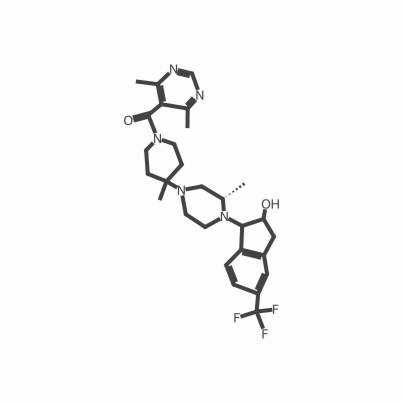 Cc1ncnc(C)c1C(=O)N1CCC(C)(N2CCN(C3c4ccc(C(F)(F)F)cc4CC3O)[C@@H](C)C2)CC1